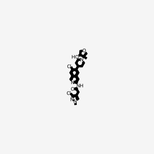 Cn1cc(CC(=O)Nc2cc3cc(C4CCN(C5(C)COCC5O)CC4)c(Cl)cc3cn2)c(Cl)n1